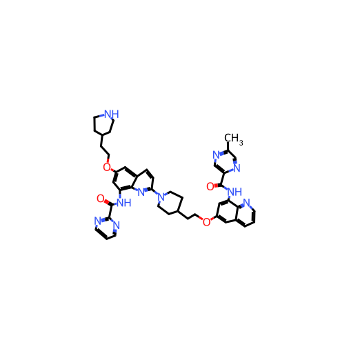 Cc1cnc(C(=O)Nc2cc(OCCC3CCN(c4ccc5cc(OCCC6CCNCC6)cc(NC(=O)c6ncccn6)c5n4)CC3)cc3cccnc23)cn1